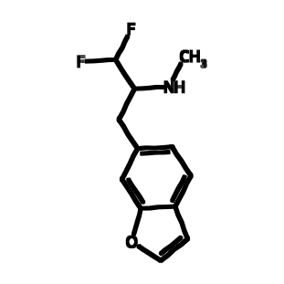 CNC(Cc1ccc2ccoc2c1)C(F)F